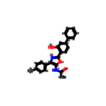 CCCCC(=O)Nc1oc(-c2ccc(-c3ccccc3)cc2O)nc1-c1ccc(C(F)(F)F)cc1